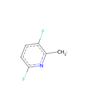 [CH2]c1nc(F)ccc1F